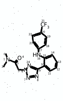 CN(C)C(=O)Cn1nnc(-c2ccccc2Nc2ccc(C(F)(F)F)cc2)n1